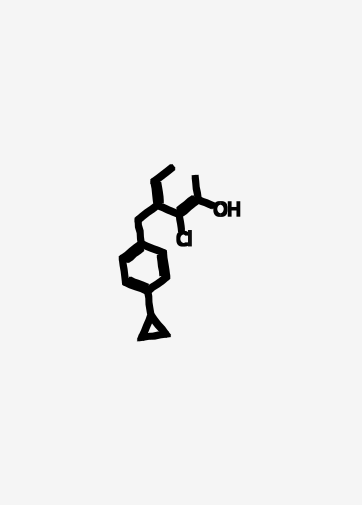 C/C=C(Cc1ccc(C2CC2)cc1)\C(Cl)=C(/C)O